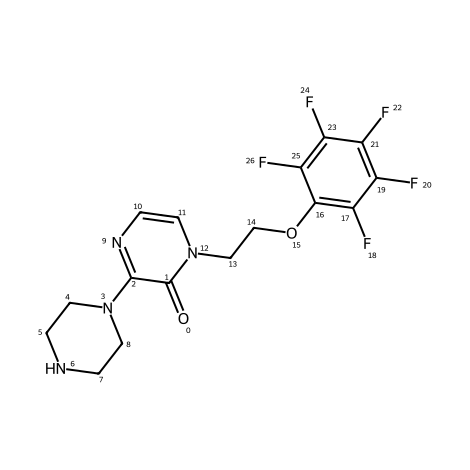 O=c1c(N2CCNCC2)nccn1CCOc1c(F)c(F)c(F)c(F)c1F